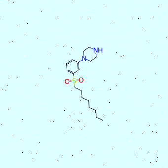 CCCCCCCCS(=O)(=O)c1cccc(N2CCNCC2)c1